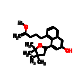 C=C(CCCc1cccc2cc(O)cc(B3CC(C)(C)C(C)(C)O3)c12)OCC